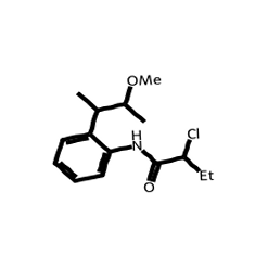 CCC(Cl)C(=O)Nc1ccccc1C(C)C(C)OC